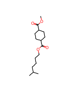 COC(=O)C1CCC(C(=O)OCCCCC(C)C)CC1